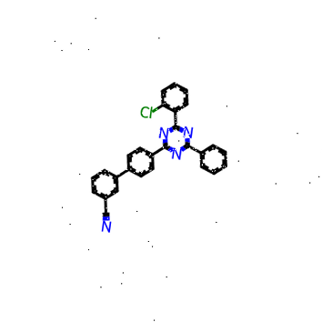 N#Cc1cccc(-c2ccc(-c3nc(-c4ccccc4)nc(-c4ccccc4Cl)n3)cc2)c1